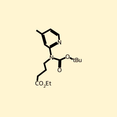 CCOC(=O)CCCN(C(=O)OC(C)(C)C)c1cc(C)ccn1